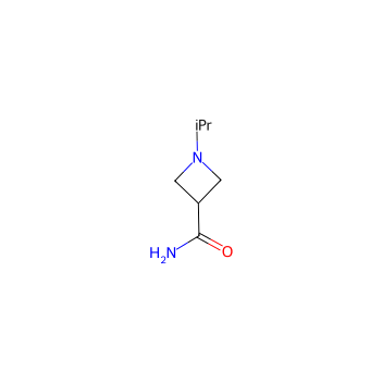 CC(C)N1CC(C(N)=O)C1